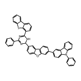 c1ccc(C2=NC(c3ccc4oc5cc(-c6ccc7c(c6)c6ccccc6n7-c6ccccc6)ccc5c4c3)NC(c3cccc4c3sc3ccccc34)=N2)cc1